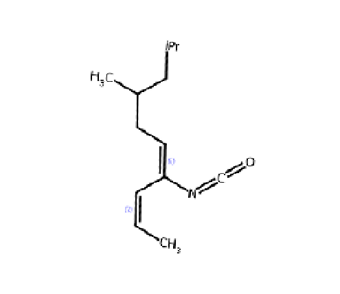 C/C=C\C(=C/CC(C)CC(C)C)N=C=O